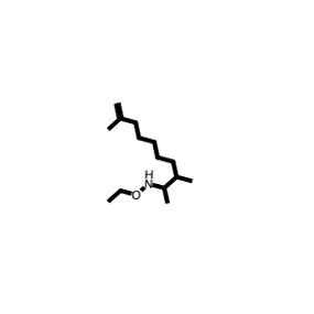 C=C(C)CCCCCC(C)C(C)NOCC